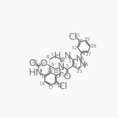 Nc1c(C(=O)N2CCC[C@@]3(C2)OC(=O)Nc2ccc(Cl)c(F)c23)cnn1-c1cccc(Cl)c1